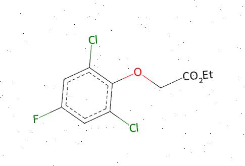 CCOC(=O)COc1c(Cl)cc(F)cc1Cl